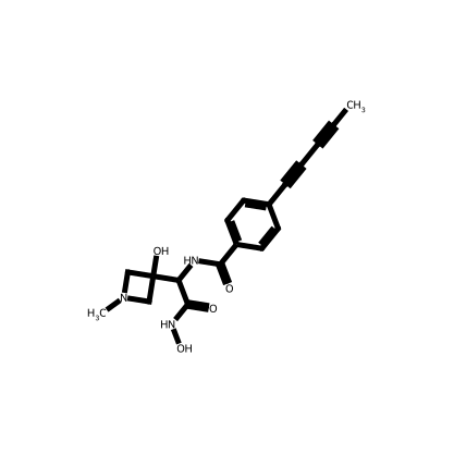 CC#CC#Cc1ccc(C(=O)NC(C(=O)NO)C2(O)CN(C)C2)cc1